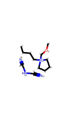 CCCC[N+]1(COC)CCCC1.N#CNC#N